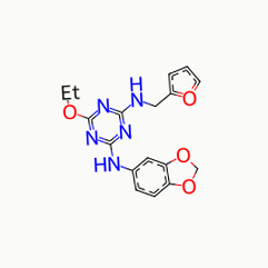 CCOc1nc(NCc2ccco2)nc(Nc2ccc3c(c2)OCO3)n1